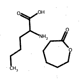 CCCCC(N)C(=O)O.O=C1CCCCCO1